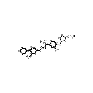 CCc1cc(C(C)=NOCc2ccc(-c3cncnc3)c(C)c2)ccc1CN1CCC(C(=O)O)C1